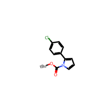 CC(C)(C)OC(=O)n1cccc1-c1ccc(Cl)cc1